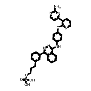 Nc1nccc(-c2cccnc2Oc2ccc(Nc3nnc(-c4cccc(CCCOP(=O)(O)O)c4)c4ccccc34)cc2)n1